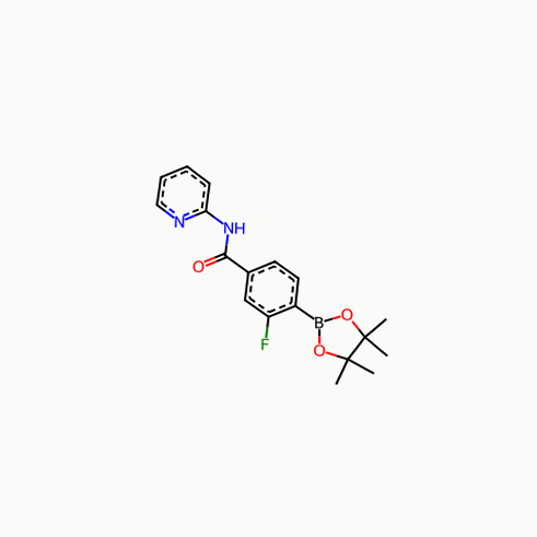 CC1(C)OB(c2ccc(C(=O)Nc3ccccn3)cc2F)OC1(C)C